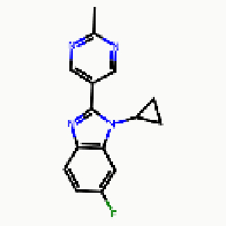 Cc1ncc(-c2nc3ccc(F)cc3n2C2CC2)cn1